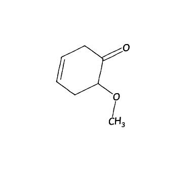 COC1CC=CCC1=O